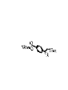 CCC(CC(C)(C)C)c1ccc(C(=O)OC(C)(C)C)cc1